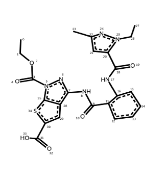 CCOC(=O)n1nc(NC(=O)c2ccccc2NC(=O)c2cc(C)nn2CC)c2cc(C(=O)O)sc21